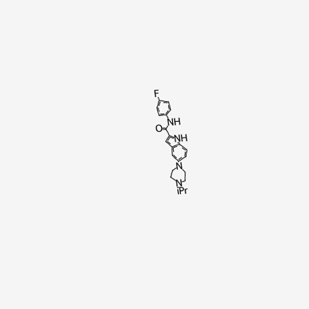 CC(C)N1CCN(c2ccc3[nH]c(C(=O)Nc4ccc(F)cc4)cc3c2)CC1